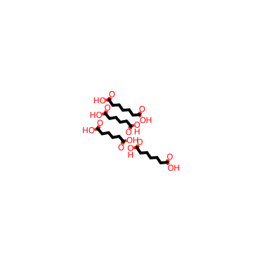 O=C(O)CCCCC(=O)O.O=C(O)CCCCC(=O)O.O=C(O)CCCCCC(=O)O.O=C(O)CCCCCC(=O)O